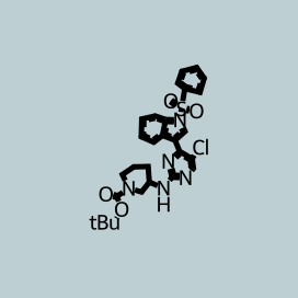 CC(C)(C)OC(=O)N1CCCC(Nc2ncc(Cl)c(-c3cn(S(=O)(=O)c4ccccc4)c4ccccc34)n2)C1